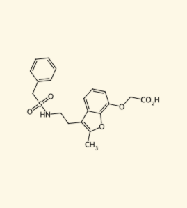 Cc1oc2c(OCC(=O)O)cccc2c1CCNS(=O)(=O)Cc1ccccc1